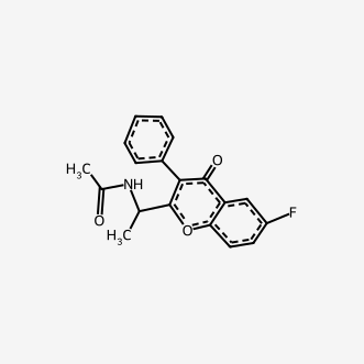 CC(=O)NC(C)c1oc2ccc(F)cc2c(=O)c1-c1ccccc1